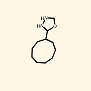 C1CCCCC(C2NNCO2)CCC1